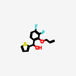 C=CCOc1c(C(O)c2cccs2)ccc(F)c1F